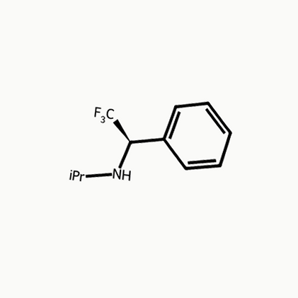 CC(C)N[C@H](c1ccccc1)C(F)(F)F